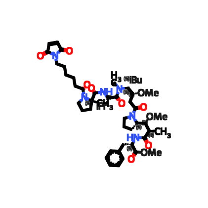 CC[C@H](C)[C@@H]([C@@H](CC(=O)N1CCC[C@H]1[C@H](OC)[C@@H](C)C(=O)N[C@@H](Cc1ccccc1)C(=O)OC)OC)N(C)C(=O)[C@@H](NC(=O)[C@]1(C)CCCN1C(=O)CCCCCN1C(=O)C=CC1=O)C(C)C